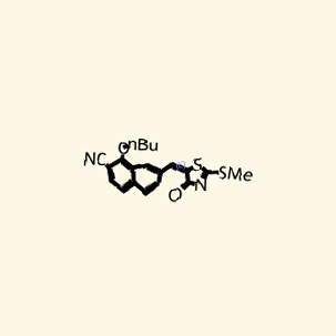 CCCCOc1c(C#N)ccc2ccc(/C=C3/SC(SC)=NC3=O)cc12